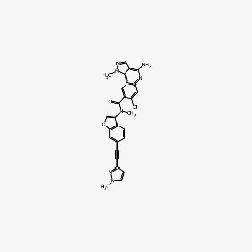 CN(C(=O)c1cc2c(cc1Cl)nc(N)c1cnn(C)c12)C1COc2cc(C#Cc3ccn(C)n3)ccc21